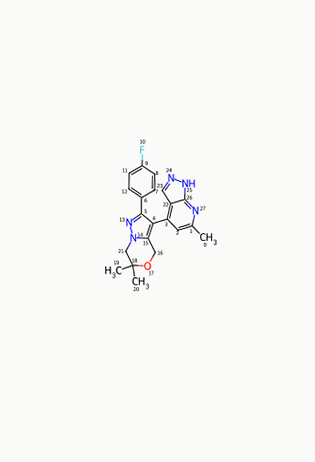 Cc1cc(-c2c(-c3ccc(F)cc3)nn3c2COC(C)(C)C3)c2cn[nH]c2n1